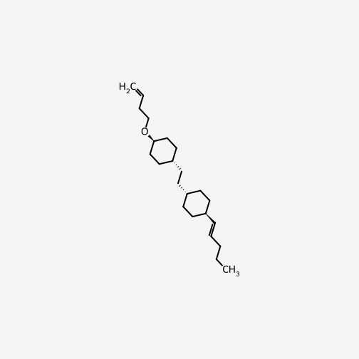 C=CCCO[C@H]1CC[C@H](CC[C@H]2CC[C@H](C=CCCC)CC2)CC1